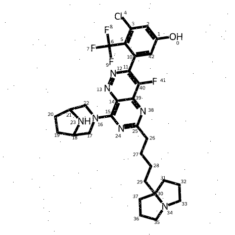 Oc1cc(Cl)c(C(F)(F)F)c(-c2nnc3c(N4CC5CCC(C4)N5)nc(CCCCC45CCCN4CCC5)nc3c2F)c1